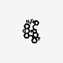 CN1CCC[C@H]1Cc1cc2cc(F)ccc2n1[C@@H]1c2ccccc2Oc2cccc(Cc3ccccc3)c21